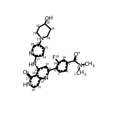 CN(C)C(=O)c1ccc(-c2cc(Nc3ccc(N4CCC(O)CC4)cn3)c3c(=O)[nH]ccc3n2)c(F)c1